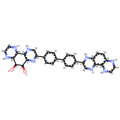 O=C1C(=O)c2nc(-c3ccc(-c4ccc(-c5cnc6c(ccc7nccnc76)n5)cc4)cc3)cnc2-c2nccnc21